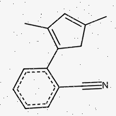 CC1=CC(C)=C(c2ccccc2C#N)C1